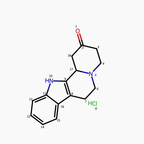 Cl.O=C1CCN2CCc3c([nH]c4ccccc34)C2C1